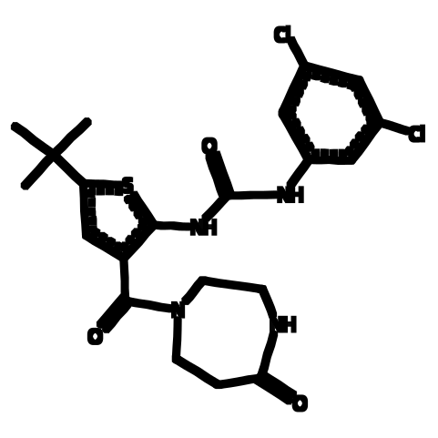 CC(C)(C)c1cc(C(=O)N2CCNC(=O)CC2)c(NC(=O)Nc2cc(Cl)cc(Cl)c2)s1